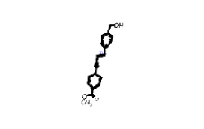 COC(=O)c1ccc(C#C/C=C/c2ccc(CO)cc2)cc1